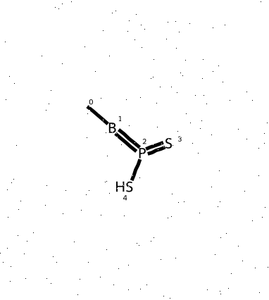 CB=P(=S)S